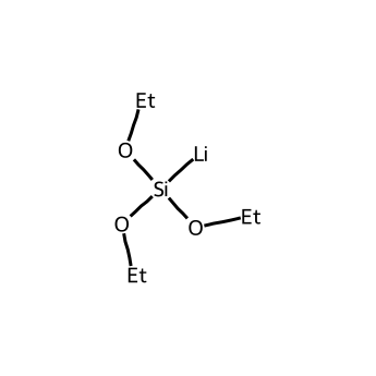 [Li][Si](OCC)(OCC)OCC